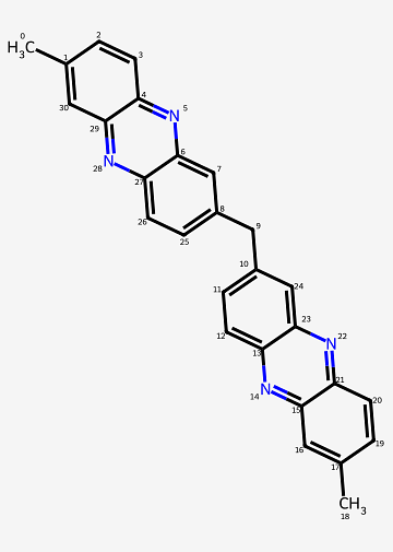 Cc1ccc2nc3cc(Cc4ccc5nc6cc(C)ccc6nc5c4)ccc3nc2c1